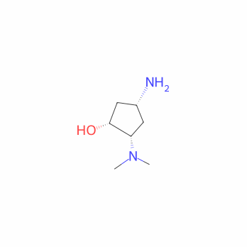 CN(C)[C@H]1C[C@@H](N)C[C@H]1O